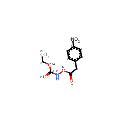 O=C(Cc1ccc([N+](=O)[O-])cc1)ONC(=O)OCC(Cl)(Cl)Cl